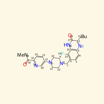 CCC(C)c1nc2ccc(CN3CCN(c4ccc(C(=O)NC)nc4)CC3)c(F)c2[nH]c1=O